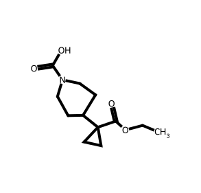 CCOC(=O)C1(C2CCN(C(=O)O)CC2)CC1